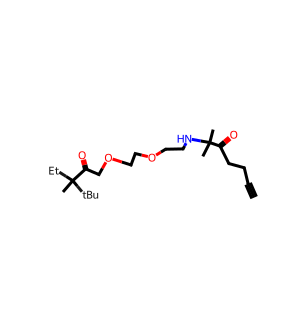 C#CCCC(=O)C(C)(C)NCCOCCOCC(=O)C(C)(CC)C(C)(C)C